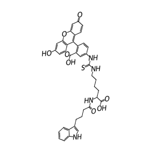 O=C(CCCc1c[nH]c2ccccc12)NC(CCCCNC(=S)Nc1ccc(-c2c3ccc(=O)cc-3oc3cc(O)ccc23)c(C(=O)O)c1)C(=O)O